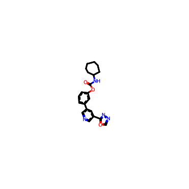 O=C(NC1CCCCCC1)Oc1cccc(-c2cncc(-c3nnco3)c2)c1